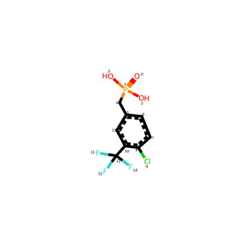 O=P(O)(O)Cc1ccc(Cl)c(C(F)(F)F)c1